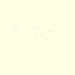 CC(C)C[C@H](NC(=O)OCc1ccccc1)C(=O)NN(CCC(N)=O)C(=O)c1cc([N+](=O)[O-])ccc1F